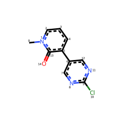 Cn1cccc(-c2cnc(Cl)nc2)c1=O